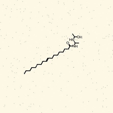 CCCCCCCCC=CCCCCCCCC(=O)NC(C)NC(C)O